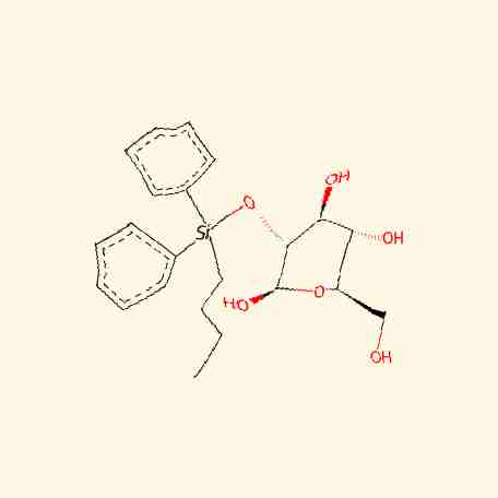 CCCC[Si](O[C@@H]1[C@@H](O)[C@H](O)[C@@H](CO)O[C@H]1O)(c1ccccc1)c1ccccc1